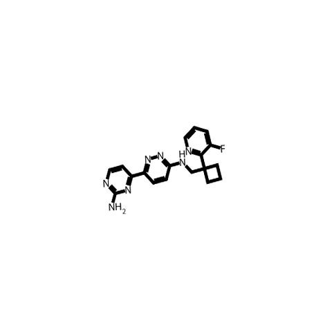 Nc1nccc(-c2ccc(NCC3(c4ncccc4F)CCC3)nn2)n1